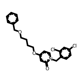 O=c1cc(OCCCCOCc2ccccc2)ccn1Cc1ccc(Cl)cc1Cl